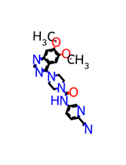 COc1cc2ncnc(N3CCN(C(=O)Nc4ccc(C#N)nc4)CC3)c2cc1OC